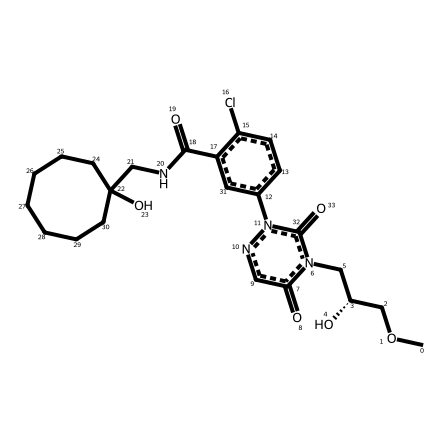 COC[C@H](O)Cn1c(=O)cnn(-c2ccc(Cl)c(C(=O)NCC3(O)CCCCCCC3)c2)c1=O